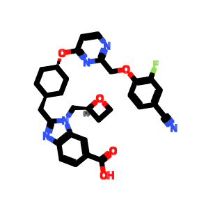 N#Cc1ccc(OCc2nccc(O[C@H]3CC[C@H](Cc4nc5ccc(C(=O)O)cc5n4C[C@@H]4CCO4)CC3)n2)c(F)c1